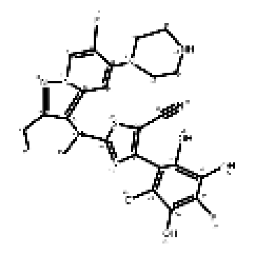 CCc1nn2cc(F)c(N3CCNCC3)cc2c1N(C)c1nc(-c2c(O)c(O)c(F)c(O)c2O)c(C#N)s1